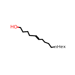 CCCCCCCCCC/C=C/CCCCO